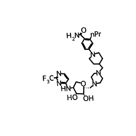 CCCc1cc(N2CCC(CN3CCN(C[C@H]4OC[C@H](Nc5ccnc(C(F)(F)F)n5)[C@@H](O)[C@H]4O)CC3)CC2)ccc1C(N)=O